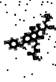 COCC(C)NC(=O)c1c(O)c2ncc(Cc3ccc(F)cc3)cc2n(CCNC(C)=O)c1=O